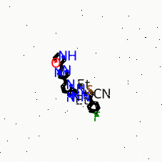 CCN(c1nc(-c2ccc(F)cc2)c(C#N)s1)c1c2nc(-c3cnc(C4CNCCO4)nc3)ccc2nn1CC